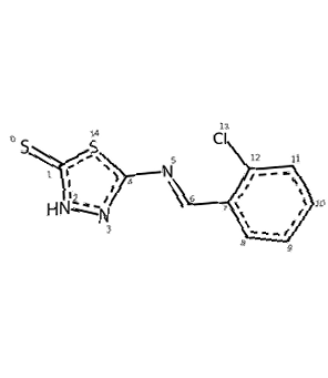 S=c1[nH]nc(/N=C/c2ccccc2Cl)s1